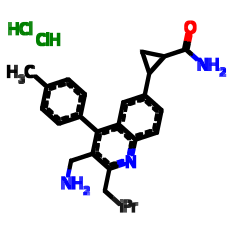 Cc1ccc(-c2c(CN)c(CC(C)C)nc3ccc(C4CC4C(N)=O)cc23)cc1.Cl.Cl